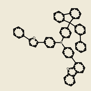 c1ccc(-c2cccc(C3(c4ccc(N(c5ccc(-c6ccc(-c7ccccc7)o6)cc5)c5ccc(-c6cccc7c6oc6ccccc67)cc5)cc4)c4ccccc4-c4ccccc43)c2)cc1